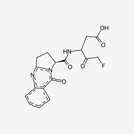 O=C(O)CC(NC(=O)[C@@H]1CCc2nc3ccccc3c(=O)n21)C(=O)CF